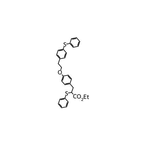 CCOC(=O)C(Cc1ccc(OCCc2ccc(Sc3ccccc3)cc2)cc1)Sc1ccccc1